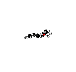 N#Cc1ccc(-n2ccc(-c3ccc(Oc4ccc(N5CCCC56C(=O)NC(=O)NC6=O)cn4)cc3)n2)nc1